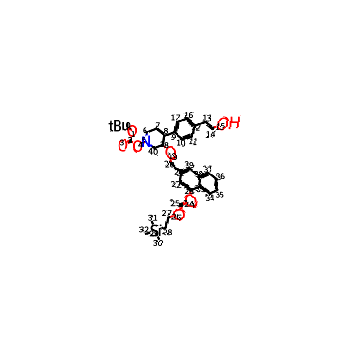 CC(C)(C)OC(=O)ON1CCC(c2ccc(CCO)cc2)C(OCc2cc(OCOCC[Si](C)(C)C)c3ccccc3c2)C1